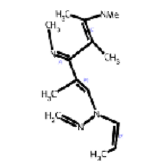 C=NN(/C=C\C)/C=C(C)/C(=N/C)C(/C)=C(\C)NC